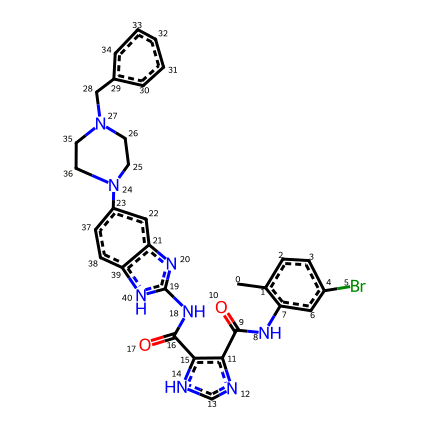 Cc1ccc(Br)cc1NC(=O)c1nc[nH]c1C(=O)Nc1nc2cc(N3CCN(Cc4ccccc4)CC3)ccc2[nH]1